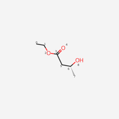 CCOC(=O)C[C@@H](C)O